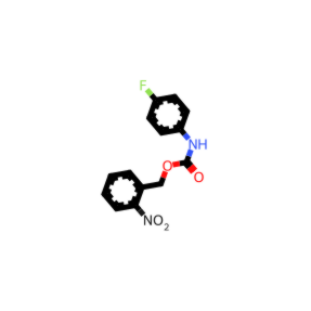 O=C(Nc1ccc(F)cc1)OCc1ccccc1[N+](=O)[O-]